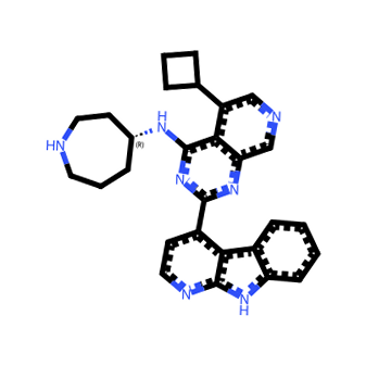 c1ccc2c(c1)[nH]c1nccc(-c3nc(N[C@@H]4CCCNCC4)c4c(C5CCC5)cncc4n3)c12